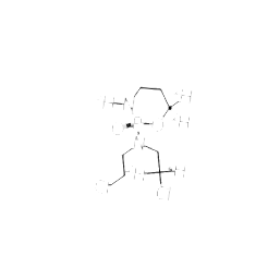 [2H]N1CCC([2H])([2H])OP1(=O)N(CCCl)CC([2H])([2H])Cl